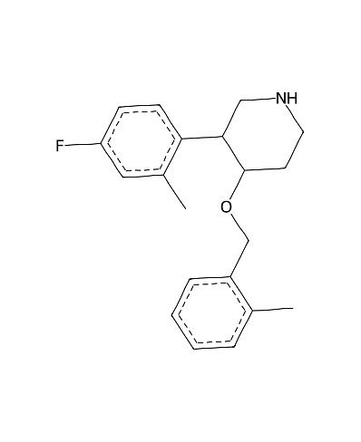 Cc1ccccc1COC1CCNCC1c1ccc(F)cc1C